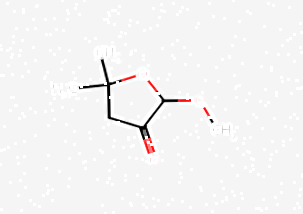 COC1OC(C)(C)CC1=O